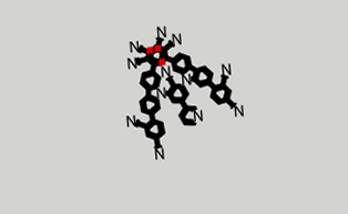 N#Cc1ccc(-c2ccc3c4ccc(-c5ccc(C#N)cc5C#N)cc4n(-c4cc(-c5cccnc5)cc(-n5c6cc(-c7ccc(C#N)cc7C#N)ccc6c6ccc(-c7ccc(C#N)cc7C#N)cc65)c4C#N)c3c2)c(C#N)c1